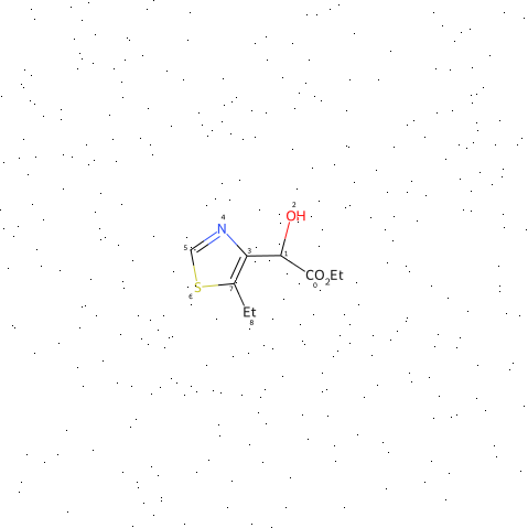 CCOC(=O)C(O)c1n[c]sc1CC